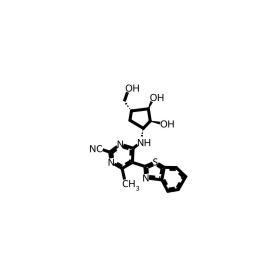 Cc1nc(C#N)nc(N[C@@H]2C[C@H](CO)[C@@H](O)[C@H]2O)c1-c1nc2ccccc2s1